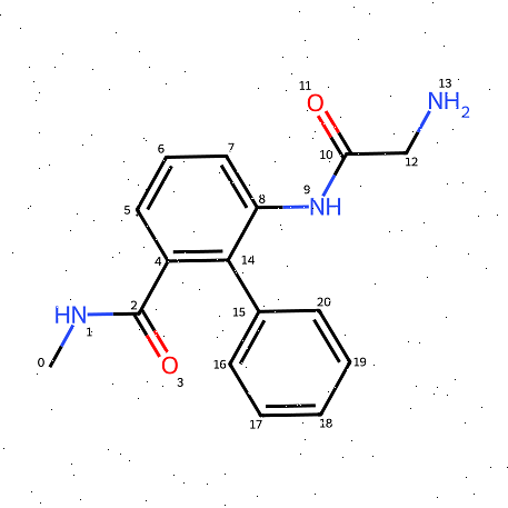 CNC(=O)c1[c]ccc(NC(=O)CN)c1-c1ccccc1